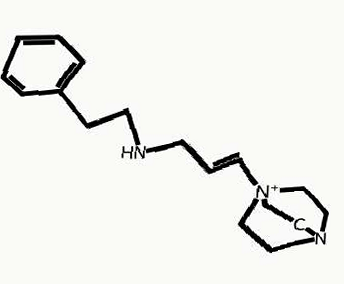 C(=C\[N+]12CCN(CC1)CC2)/CNCCc1ccccc1